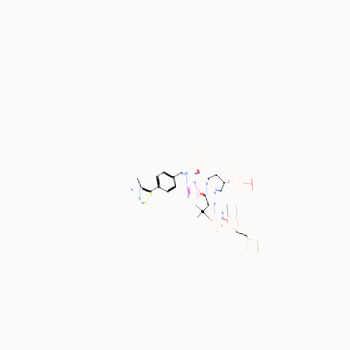 Cc1ncsc1-c1ccc(CNC(=O)[C@@H]2C[C@@H](O)CN2C(=O)[C@H](NC(=O)OCCCl)C(C)(C)C)cc1